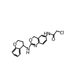 O=C(CCl)Nc1ccc2c(c1)COC(NC1CCOc3ccccc31)=N2